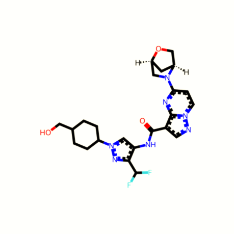 O=C(Nc1cn(C2CCC(CO)CC2)nc1C(F)F)c1cnn2ccc(N3C[C@@H]4C[C@H]3CO4)nc12